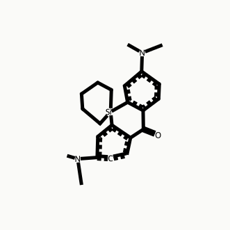 CN(C)c1ccc2c(c1)[Si]1(CCCCC1)c1cc(N(C)C)ccc1C2=O